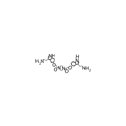 NCCc1c[nH]c2ccc(OCC(=O)N3CCN(C(=O)COc4ccc5[nH]cc(CCN)c5c4)CC3)cc12